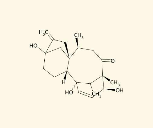 C=C1C[C@]23CC1(O)CC[C@H]2[C@]1(O)C=C[C@H](O)[C@@](C)(C(=O)C[C@@H]3C)C1C